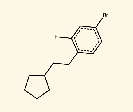 Fc1cc(Br)ccc1CCC1CCCC1